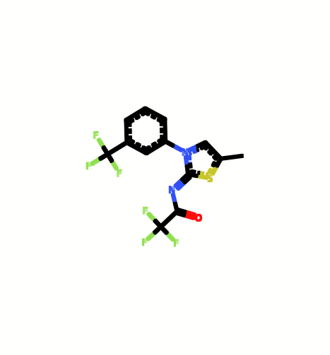 Cc1cn(-c2cccc(C(F)(F)F)c2)c(=NC(=O)C(F)(F)F)s1